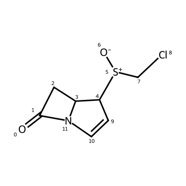 O=C1CC2C([S+]([O-])CCl)C=CN12